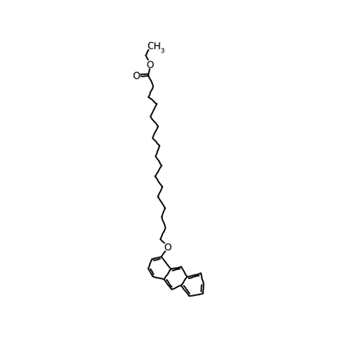 CCOC(=O)CCCCCCCCCCCCCCCCOc1cccc2cc3ccccc3cc12